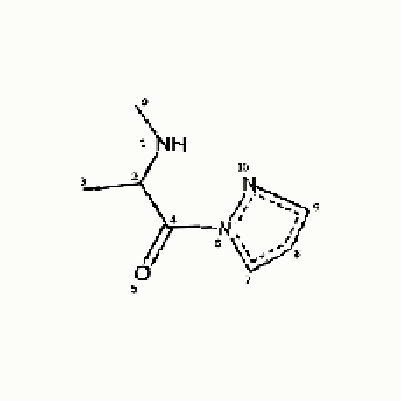 CNC(C)C(=O)n1cccn1